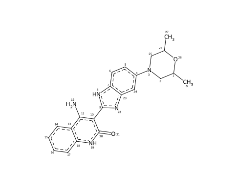 CC1CN(c2ccc3[nH]c(-c4c(N)c5ccccc5[nH]c4=O)nc3c2)CC(C)O1